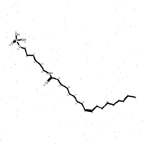 CCCCCCCC/C=C\CCCCCCCC(=O)NCCCCCCOP(=O)(O)O